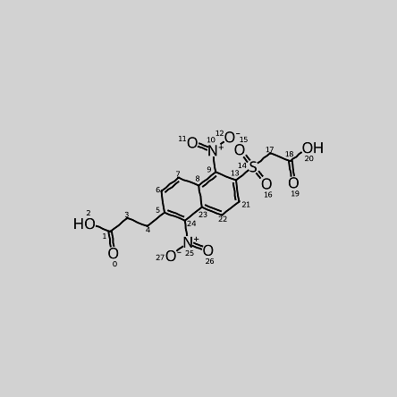 O=C(O)CCc1ccc2c([N+](=O)[O-])c(S(=O)(=O)CC(=O)O)ccc2c1[N+](=O)[O-]